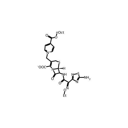 CCCCCCCCOC(=O)c1cc[n+](CC2=C(C(=O)[O-])N3C(=O)C(NC(=O)/C(=N\OCC)c4nsc(N)n4)[C@H]3SC2)cc1